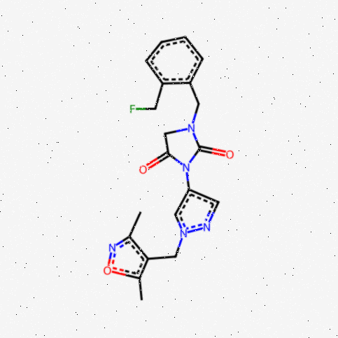 Cc1noc(C)c1Cn1cc(N2C(=O)CN(Cc3ccccc3CF)C2=O)cn1